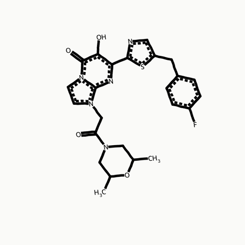 CC1CN(C(=O)Cn2ccn3c(=O)c(O)c(-c4ncc(Cc5ccc(F)cc5)s4)nc23)CC(C)O1